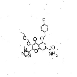 CCOCOc1c(-c2ncnn2C)oc2cc(C(N)=O)cc(OCc3ccc(F)cc3)c2c1=O